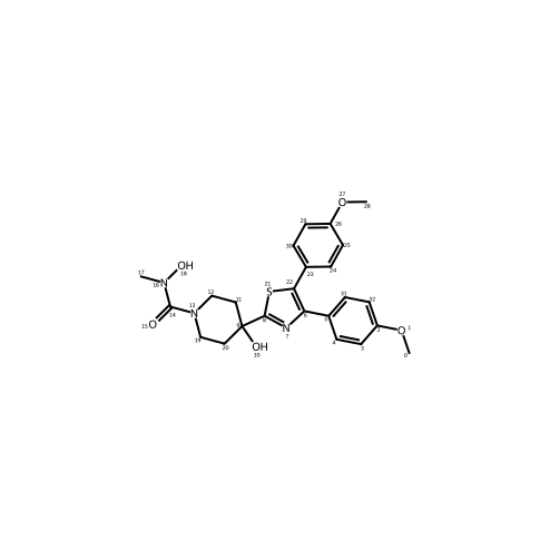 COc1ccc(-c2nc(C3(O)CCN(C(=O)N(C)O)CC3)sc2-c2ccc(OC)cc2)cc1